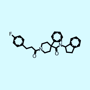 O=C(CCc1ccc(F)cc1)N1CCC(C(=O)NC2CCc3ccccc32)(c2ccccc2)CC1